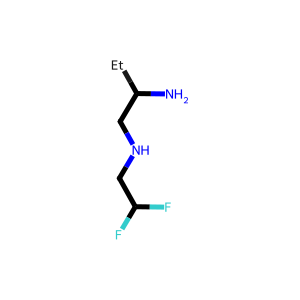 CCC(N)CNCC(F)F